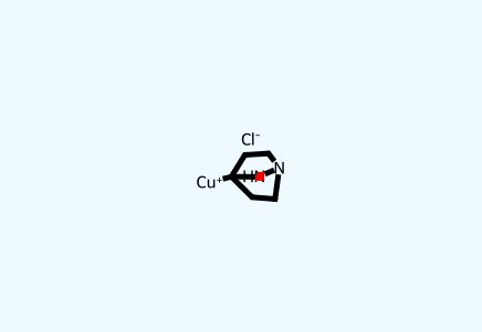 [Cl-].[Cu+][C]12CCN(CC1)NC2